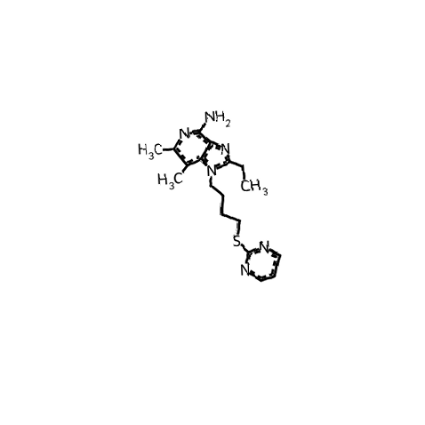 CCc1nc2c(N)nc(C)c(C)c2n1CCCCSc1ncccn1